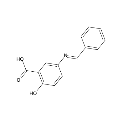 O=C(O)c1cc(/N=C/c2ccccc2)ccc1O